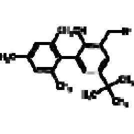 Cc1cc(C)c(-c2cc(C(C)(C)C)cc(CBr)c2O)c(C)c1